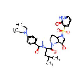 CCN(CC)c1ccc(C(=O)NC(CC(C)C)C(=O)N2CCC3C2C(=O)CN3S(=O)(=O)c2ccc[nH]c2=O)cc1